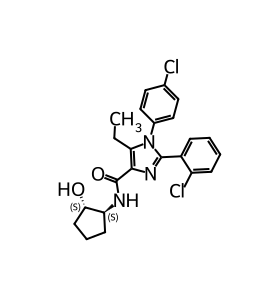 CCc1c(C(=O)N[C@H]2CCC[C@@H]2O)nc(-c2ccccc2Cl)n1-c1ccc(Cl)cc1